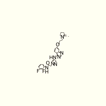 [CH2][C@H]1CCCN1CCCOc1ccc2c(Nc3cnn(CC(=O)Nc4cccc(F)c4F)c3)ncnc2c1